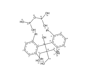 CC(C)c1cccc(C(C)C)c1C(O)(c1c(C(C)C)cccc1C(C)C)C(CO)(CO)CO.OP(O)OP(O)O